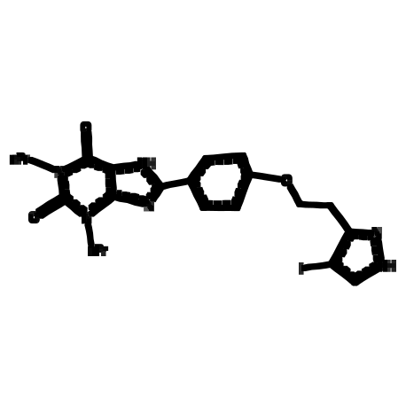 CCCn1c(=O)c2[nH]c(-c3ccc(OCCc4n[nH]cc4I)cc3)nc2n(CCC)c1=O